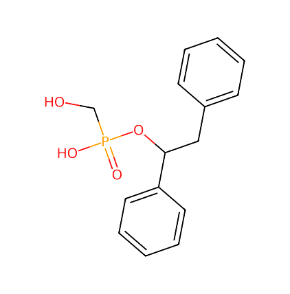 O=P(O)(CO)OC(Cc1ccccc1)c1ccccc1